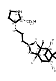 CC1(C)[C@H]2C[C@@H]3OB(CCC[C@@H]4CCN[C@@H]4C(=O)O)O[C@]3(C)[C@@H]1C2